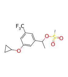 CC(OS(C)(=O)=O)c1cc(OC2CC2)cc(C(F)(F)F)c1